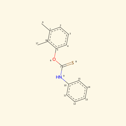 Cc1cccc(OC(=S)Nc2ccccc2)c1C